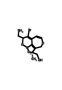 C[C@]1(CO)OB2OC(CN)C(Br)=C3C=COCC1=C23